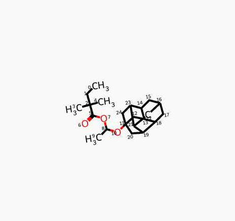 CCC(C)(C)C(=O)OC(C)OC12CC3C4CC5CC3C(C1)C(C5)C4C2